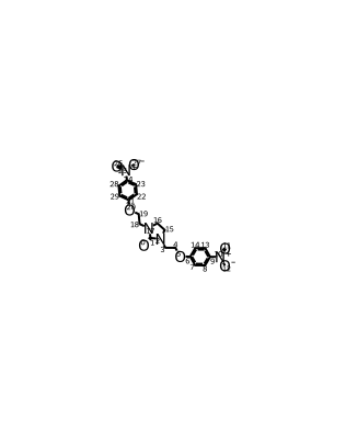 O=C1N(CCOc2ccc([N+](=O)[O-])cc2)CCN1CCOc1ccc([N+](=O)[O-])cc1